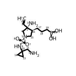 C=C[C@]1(N)CN(S(=O)(=O)NC2(CN)CC2)C[C@@H]1CCCB(O)O